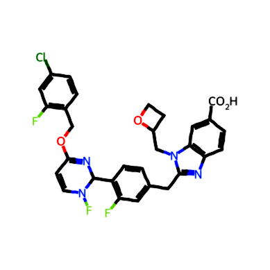 O=C(O)c1ccc2nc(Cc3ccc(C4N=C(OCc5ccc(Cl)cc5F)C=CN4F)c(F)c3)n(CC3CCO3)c2c1